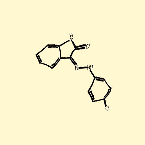 O=C1Nc2ccccc2/C1=N/Nc1ccc(Cl)cc1